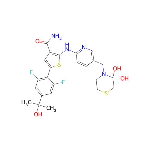 CC(C)(O)c1cc(F)c(-c2cc(C(N)=O)c(Nc3ccc(CN4CCSCC4(O)O)cn3)s2)c(F)c1